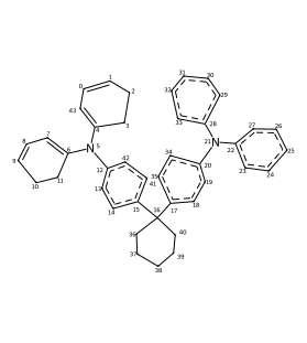 C1=CCCC(N(C2=CC=CCC2)c2ccc(C3(c4ccc(N(c5ccccc5)c5ccccc5)cc4)CCCCC3)cc2)=C1